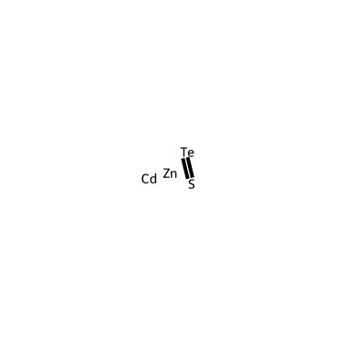 S=[Te].[Cd].[Zn]